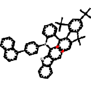 CC(C)(C)c1cc(C(C)(C)C)c2c(c1)C(C)(C)c1cccc(-c3ccccc3N(c3ccc(-c4cccc5ccccc45)cc3)c3cccc4c3oc3ccccc34)c1-2